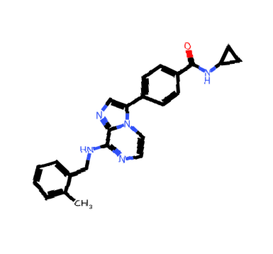 Cc1ccccc1CNc1nccn2c(-c3ccc(C(=O)NC4CC4)cc3)cnc12